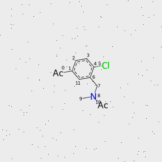 CC(=O)c1ccc(Cl)c(CN(C)C(C)=O)c1